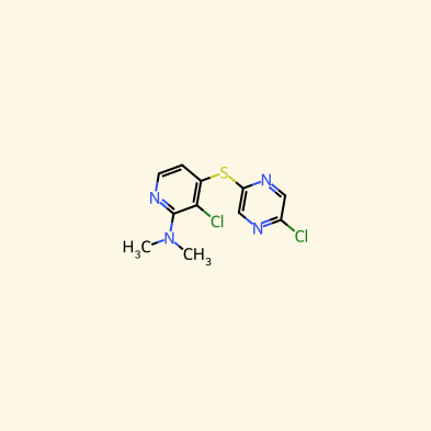 CN(C)c1nccc(Sc2cnc(Cl)cn2)c1Cl